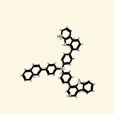 C1=Cc2c(oc3c(-c4ccc(N(c5ccc(-c6ccc7ccccc7c6)cc5)c5ccc(-c6cncc7c6oc6ccccc67)cc5)cc4)cccc23)NC1